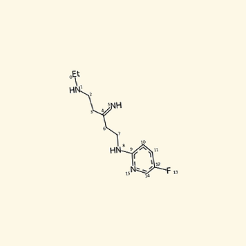 CCNCCC(=N)CCNc1ccc(F)cn1